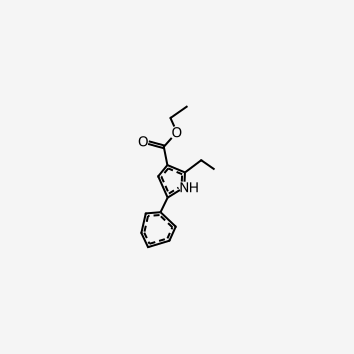 CCOC(=O)c1cc(-c2ccccc2)[nH]c1CC